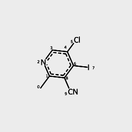 Cc1ncc(Cl)c(I)c1C#N